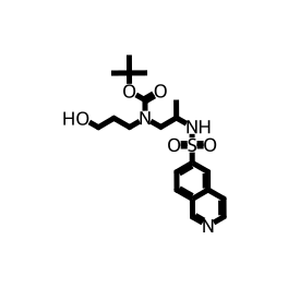 CC(CN(CCCO)C(=O)OC(C)(C)C)NS(=O)(=O)c1ccc2cnccc2c1